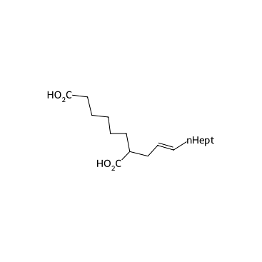 CCCCCCCC=CCC(CCCCCC(=O)O)C(=O)O